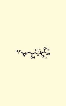 CC1CN1CC(O)COC(C)(C)C(C)O